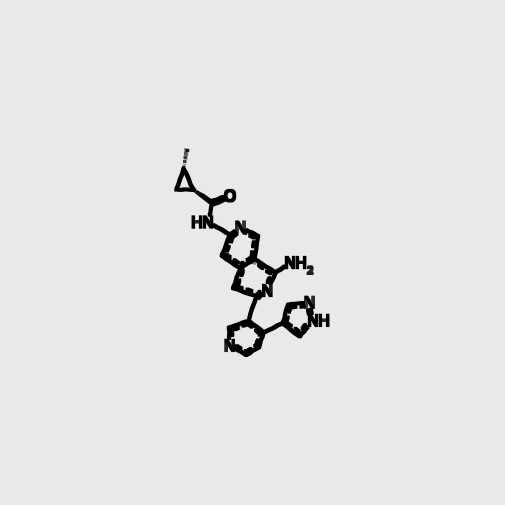 C[C@H]1C[C@@H]1C(=O)Nc1cc2cc(-c3cnccc3-c3cn[nH]c3)nc(N)c2cn1